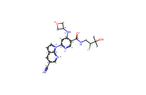 CC(C)(O)C(F)CNC(=O)c1cnc(-n2ccc3cc(C#N)cnc32)cc1NC1COC1